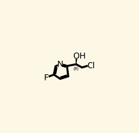 O[C@@H](CCl)c1ccc(F)cn1